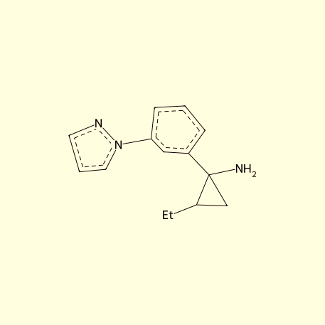 CCC1CC1(N)c1cccc(-n2cccn2)c1